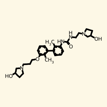 Cc1c(NC(=O)NCCN2CCC(O)C2)cccc1-c1cccc(OCCCN2CCC(O)C2)c1C